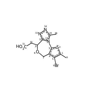 Cc1sc2c(c1Br)COC(CC(=O)O)c1nnc(C)n1-2